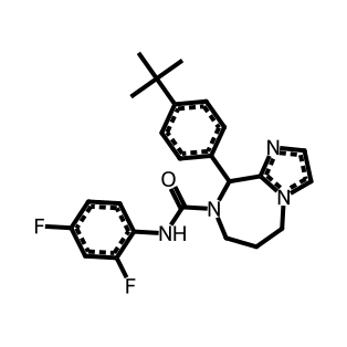 CC(C)(C)c1ccc(C2c3nccn3CCCN2C(=O)Nc2ccc(F)cc2F)cc1